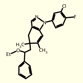 CCOC(CC1(C)Cc2cnn(-c3ccc(F)c(Cl)c3)c2C=C1C)c1ccccc1